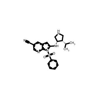 CC(C)[C@H]1CNC[C@H]1Nc1cc2cc(C#N)cnc2n1S(=O)(=O)c1ccccc1